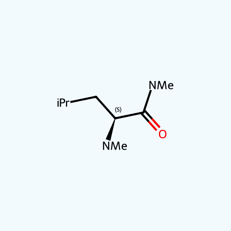 CNC(=O)[C@H](CC(C)C)NC